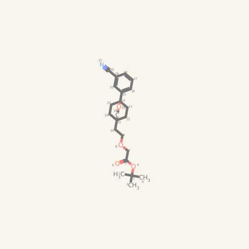 CC(C)(C)OC(=O)COCCC12CCC(c3cccc(C#N)c3)(CC1)OC2